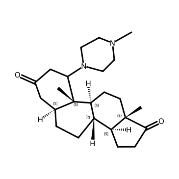 CN1CCN(C2CC(=O)C[C@@H]3CC[C@@H]4[C@H](CC[C@]5(C)C(=O)CC[C@@H]45)[C@@]23C)CC1